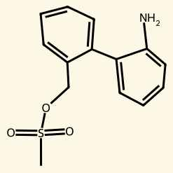 CS(=O)(=O)OCc1ccccc1-c1ccccc1N